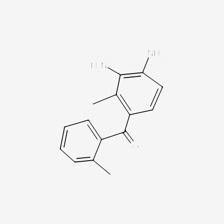 Cc1ccccc1C(=O)c1ccc(N)c(N)c1C